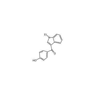 CCn1cc(C(=O)c2ccc(O)cc2)c2ccccc21